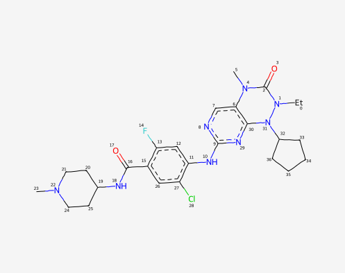 CCN1C(=O)N(C)c2cnc(Nc3cc(F)c(C(=O)NC4CCN(C)CC4)cc3Cl)nc2N1C1CCCC1